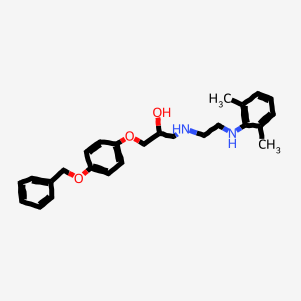 Cc1cccc(C)c1NCCNCC(O)COc1ccc(OCc2ccccc2)cc1